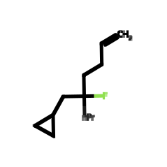 C=CCCC(F)(CCC)CC1CC1